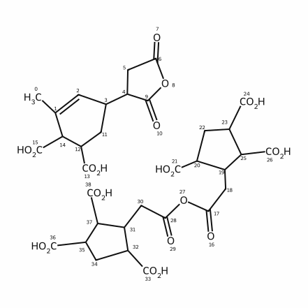 CC1=CC(C2CC(=O)OC2=O)CC(C(=O)O)C1C(=O)O.O=C(CC1C(C(=O)O)CC(C(=O)O)C1C(=O)O)OC(=O)CC1C(C(=O)O)CC(C(=O)O)C1C(=O)O